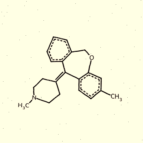 Cc1ccc2c(c1)OCc1ccccc1C2=C1CCN(C)CC1